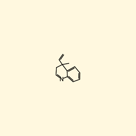 C=CC1(C)CC=Nc2ccccc21